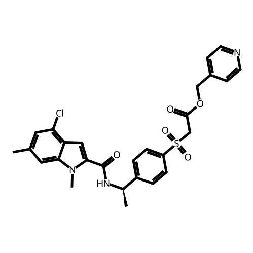 Cc1cc(Cl)c2cc(C(=O)N[C@H](C)c3ccc(S(=O)(=O)CC(=O)OCc4ccncc4)cc3)n(C)c2c1